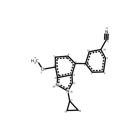 COc1ccc(-c2cccc(C#N)c2)c2cn(C3CC3)nc12